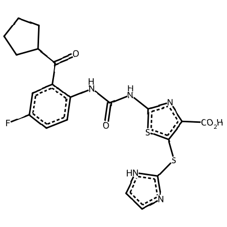 O=C(Nc1nc(C(=O)O)c(Sc2ncc[nH]2)s1)Nc1ccc(F)cc1C(=O)C1CCCC1